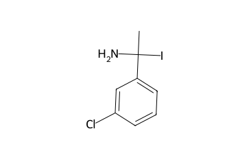 CC(N)(I)c1cccc(Cl)c1